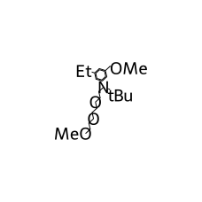 CCc1cc(COC)cc(N(CCOCCOCCOC)CC(C)(C)C)c1